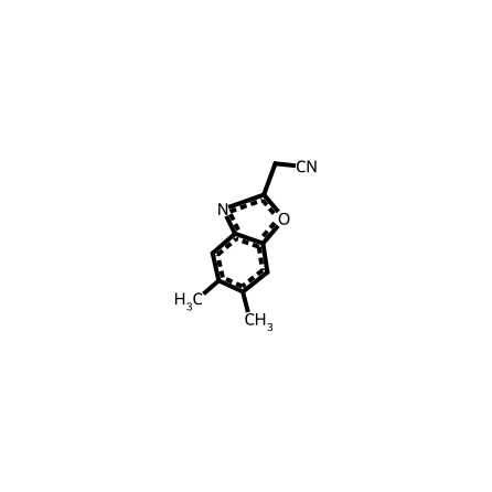 Cc1cc2nc(CC#N)oc2cc1C